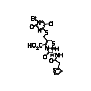 CCn1cc(Cl)c(SCC2=C(C(=O)O)N3C(=O)[C@@H](NC(=O)Cc4cccs4)[C@H]3SC2)nc1=O